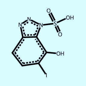 O=S(=O)(O)n1nnc2ccc(I)c(O)c21